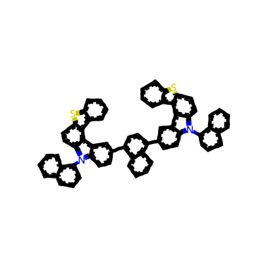 c1ccc2c(-n3c4ccc(-c5ccc(-c6ccc7c(c6)c6c8c(ccc6n7-c6cccc7ccccc67)sc6ccccc68)c6ccccc56)cc4c4c5c(ccc43)sc3ccccc35)cccc2c1